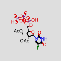 CC(=O)OC[C@H]1[C@@H](OC(C)=O)[C@H](n2cc(F)c(=O)[nH]c2=O)O[C@@H]1COP(=O)(O)OP(=O)(O)OP(=O)(O)O